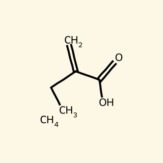 C.C=C(CC)C(=O)O